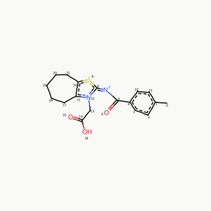 Cc1ccc(C(=O)N=c2sc3c(n2CC(=O)O)CCCCC3)cc1